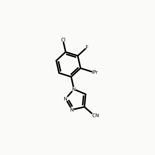 CC(C)c1c(-n2cc(C#N)nn2)ccc(Cl)c1F